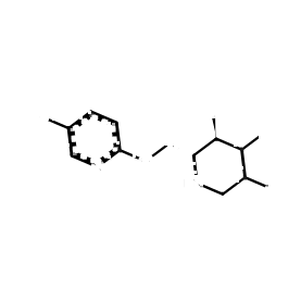 C[C@H]1C(F)C(F)CN[C@@H]1COc1ccc(C(F)(F)F)cn1